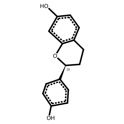 Oc1ccc([C@@H]2CCc3ccc(O)cc3O2)cc1